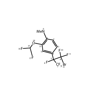 CNc1ccc(C(F)(C(F)(F)F)C(F)(F)Br)cc1OC(F)F